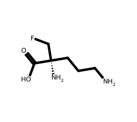 NCCC[C@](N)(CF)C(=O)O